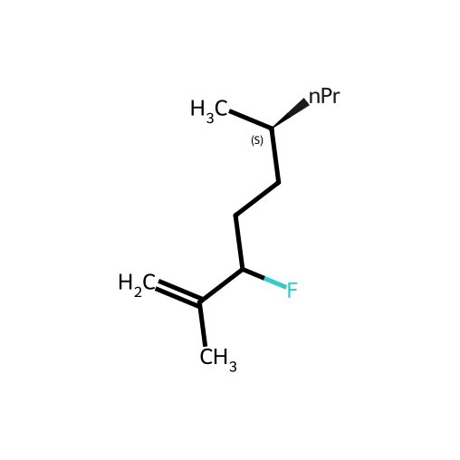 C=C(C)C(F)CC[C@@H](C)CCC